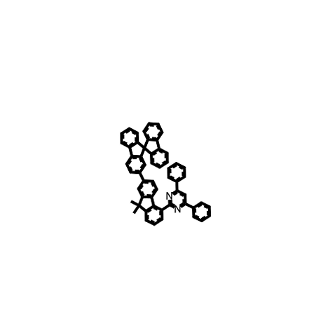 CC1(C)c2cc(-c3ccc4c(c3)C3(c5ccccc5-c5ccccc53)c3ccccc3-4)ccc2-c2c(-c3nc(-c4ccccc4)cc(-c4ccccc4)n3)cccc21